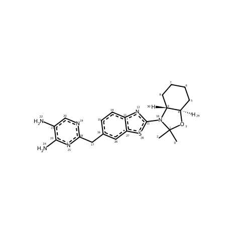 CC1(C)O[C@@H]2CCCC[C@H]2N1c1nc2ccc(Cc3ncc(N)c(N)n3)cc2s1